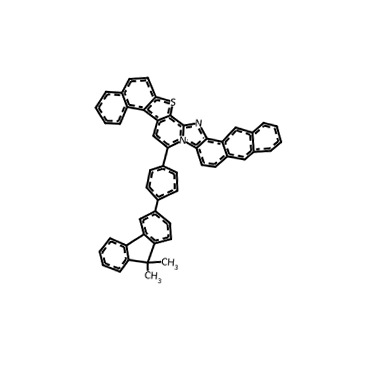 CC1(C)c2ccccc2-c2cc(-c3ccc(-c4cc5c(sc6ccc7ccccc7c65)c5nc6c7cc8ccccc8cc7ccc6n45)cc3)ccc21